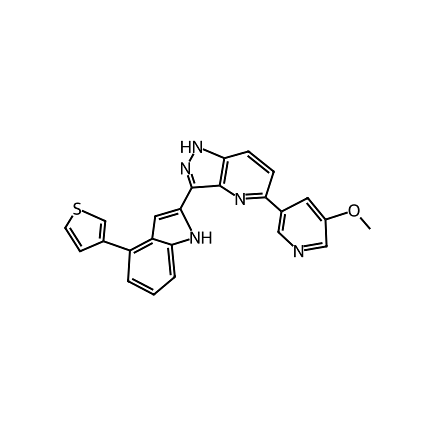 COc1cncc(-c2ccc3[nH]nc(-c4cc5c(-c6ccsc6)cccc5[nH]4)c3n2)c1